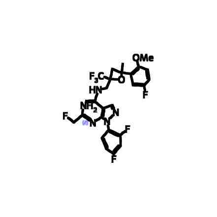 C=C(NCC1(C(F)(F)F)CC(C)(c2cc(F)ccc2OC)O1)c1cnn(-c2ccc(F)cc2F)c1/N=C(\N)CF